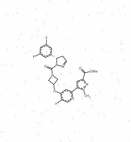 COC(=O)c1cc(-c2cc(OC3CN(C(=O)N4N=CC[C@H]4c4cc(F)cc(F)c4)C3)c(F)cn2)n(C)n1